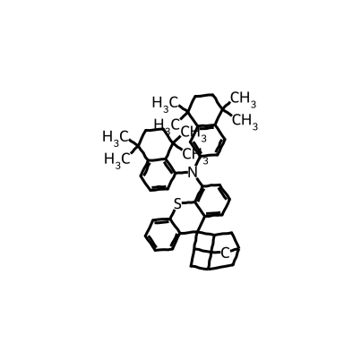 CC1(C)CCC(C)(C)c2cc(N(c3cccc4c3Sc3ccccc3C43C4CC5CC6CC3C64C5)c3cccc4c3C(C)(C)CCC4(C)C)ccc21